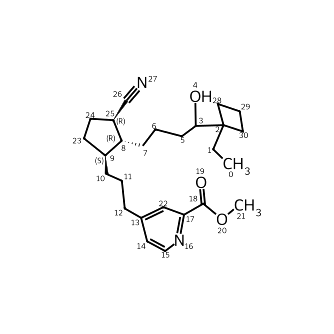 CCC1(C(O)CCC[C@@H]2[C@@H](CCCc3ccnc(C(=O)OC)c3)CC[C@H]2C#N)CCC1